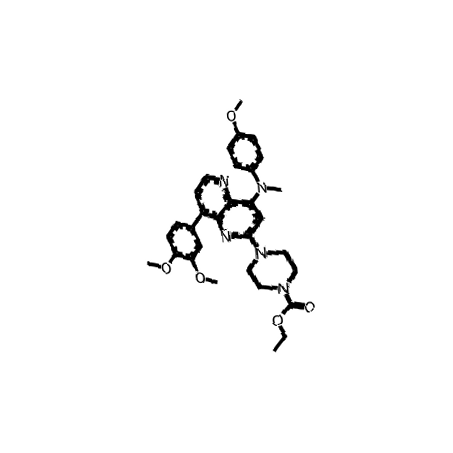 CCOC(=O)N1CCN(c2cc(N(C)c3ccc(OC)cc3)c3nccc(-c4ccc(OC)c(OC)c4)c3n2)CC1